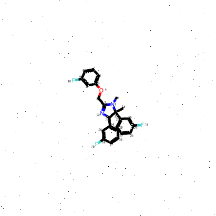 CN1C(COc2cccc(F)c2)=NC(c2cccc(F)c2)C1(C)c1cccc(F)c1